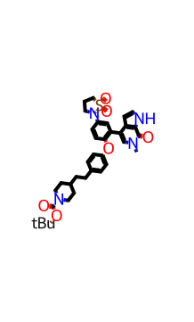 Cn1cc(-c2cc(N3CCCS3(=O)=O)ccc2Oc2ccc(CCC3CCN(C(=O)OC(C)(C)C)CC3)cc2)c2cc[nH]c2c1=O